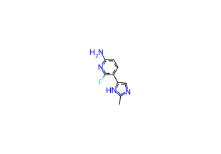 Cc1ncc(-c2ccc(N)nc2F)[nH]1